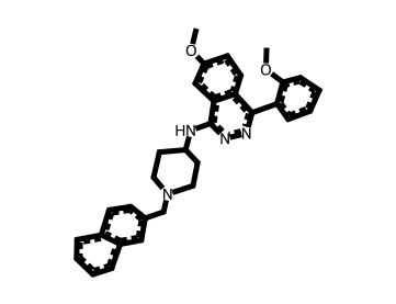 COc1ccc2c(-c3ccccc3OC)nnc(NC3CCN(Cc4ccc5ccccc5c4)CC3)c2c1